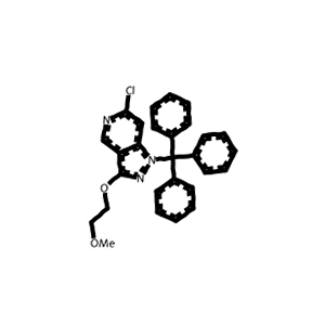 COCCOc1nn(C(c2ccccc2)(c2ccccc2)c2ccccc2)c2cc(Cl)ncc12